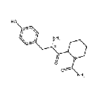 NC(=O)N1CCCCC1C(=O)[C@@H](N)Cc1ccc(O)cc1